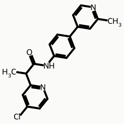 Cc1cc(-c2ccc(NC(=O)C(C)c3cc(Cl)ccn3)cc2)ccn1